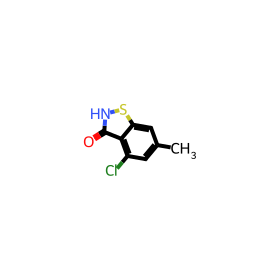 Cc1cc(Cl)c2c(=O)[nH]sc2c1